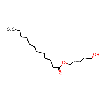 O=C(O)CCCCCCCCCCC(=O)OCCCCCO